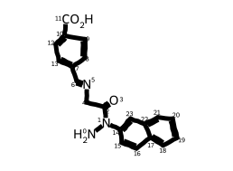 NN(C(=O)CN=Cc1ccc(C(=O)O)cc1)c1ccc2ccccc2c1